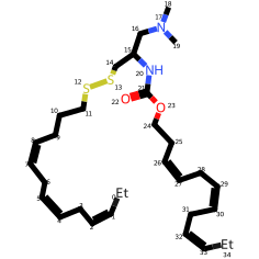 CC/C=C\C/C=C\C/C=C\CCCSSCC(CN(C)C)NC(=O)OCC/C=C\C/C=C\C/C=C\CC